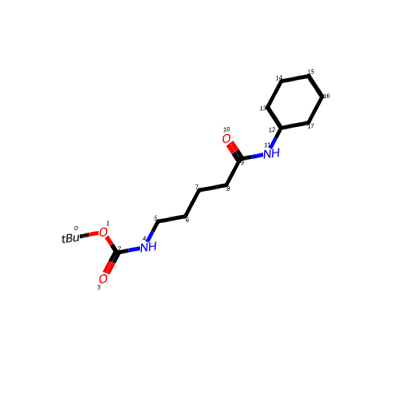 CC(C)(C)OC(=O)NCCCCC(=O)NC1CCCCC1